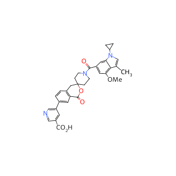 COc1cc(C(=O)N2CCC3(CC2)Cc2ccc(-c4cncc(C(=O)O)c4)cc2C(=O)O3)cc2c1c(C)cn2C1CC1